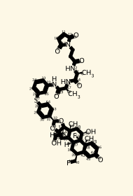 C[C@H](NC(=O)CCN1C(=O)C=CC1=O)C(=O)N[C@@H](C)C(=O)Nc1cccc(Sc2ccc([C@@H]3O[C@@H]4CC5[C@@H]6C[C@H](CF)C7=CC(=O)C=C[C@]7(C)[C@@]6(F)[C@@H](O)C[C@]5(C)[C@]4(C(=O)CO)O3)cc2)c1